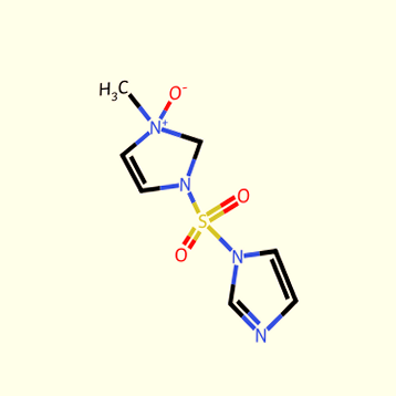 C[N+]1([O-])C=CN(S(=O)(=O)n2ccnc2)C1